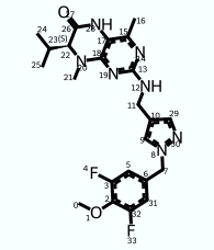 COc1c(F)cc(Cn2cc(CNc3nc(C)c4c(n3)N(C)[C@@H](C(C)C)C(=O)N4)cn2)cc1F